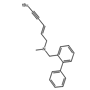 CN(CC=CC#CC(C)(C)C)Cc1ccccc1-c1ccccc1